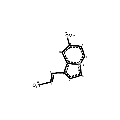 COc1ccn2ccc(C=C[N+](=O)[O-])c2c1